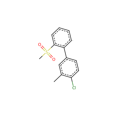 Cc1cc(-c2[c]cccc2S(C)(=O)=O)ccc1Cl